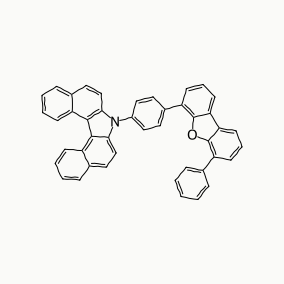 c1ccc(-c2cccc3c2oc2c(-c4ccc(-n5c6ccc7ccccc7c6c6c7ccccc7ccc65)cc4)cccc23)cc1